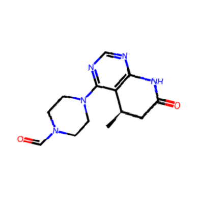 C[C@@H]1CC(=O)Nc2ncnc(N3CCN(C=O)CC3)c21